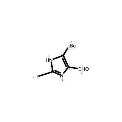 CC(C)(C)c1[nH]c(I)nc1C=O